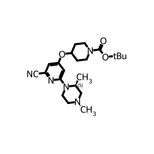 C[C@H]1CN(C)CCN1c1cc(OC2CCN(C(=O)OC(C)(C)C)CC2)cc(C#N)n1